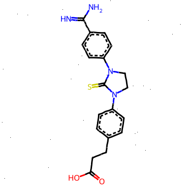 N=C(N)c1ccc(N2CCN(c3ccc(CCC(=O)O)cc3)C2=S)cc1